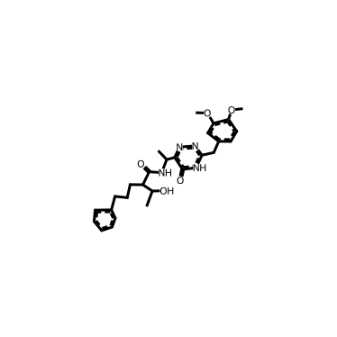 COc1ccc(Cc2nnc(C(C)NC(=O)C(CCCc3ccccc3)C(C)O)c(=O)[nH]2)cc1OC